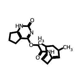 CC1/C=C(\NC(=O)COc2nc(=O)[nH]c3c2CCC3)C/C=C/C(C)C1